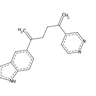 C=C(CCC(=C)c1ccc2[nH]ccc2c1)c1ccnnc1